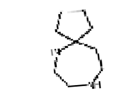 C1CCC2(C1)CCNCCN2